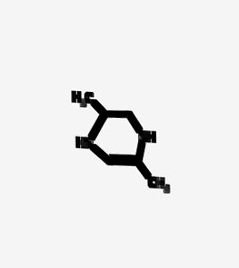 CC1=CNC(C)CN1